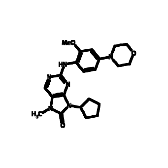 COc1cc(N2CCOCC2)ccc1Nc1ncc2c(n1)n(C1CCCC1)c(=O)n2C